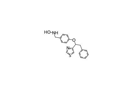 ONCc1ccc(OC(Cc2ccccc2)c2cscn2)cc1